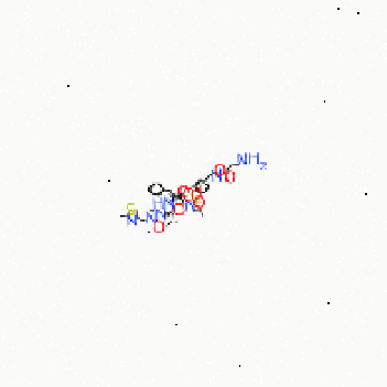 Cc1nc(CN2CCN([C@H](C(=O)N[C@@H](Cc3ccccc3)[C@H](O)CN(CC(C)C)S(=O)(=O)c3ccc(C=NOC(=O)CCN)cc3)C(C)C)C2=O)cs1